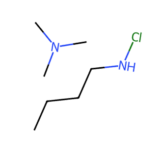 CCCCNCl.CN(C)C